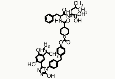 CC(C)C[C@H](NC(=O)C(Cc1ccccc1)NC(=O)C1CCN(C(=O)Oc2ccc(Cc3ccc(-n4c(O)nnc4-c4cc(C(C)C)c(O)cc4O)cc3)cc2)CC1)B(O)O